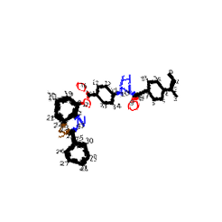 C/C=C(/C)C1CCC(C(=O)NC2CCC(C(=O)Oc3cccc4sc(-c5ccccc5)nc34)CC2)CC1